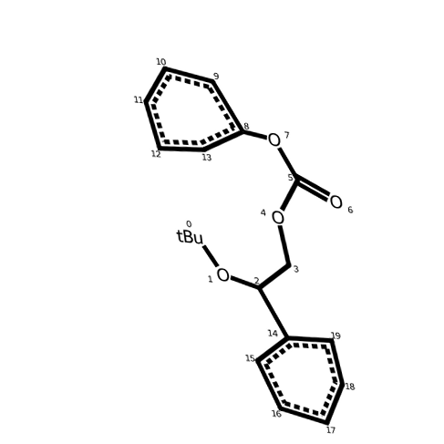 CC(C)(C)OC(COC(=O)Oc1ccccc1)c1ccccc1